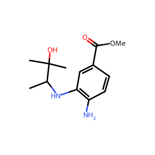 COC(=O)c1ccc(N)c(NC(C)C(C)(C)O)c1